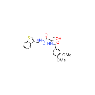 COc1ccc(C(=O)N[C@@H](CO)C(=O)N/N=C/c2csc3ccccc23)cc1OC